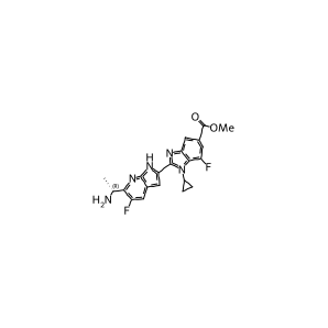 COC(=O)c1cc(F)c2c(c1)nc(-c1cc3cc(F)c([C@@H](C)N)nc3[nH]1)n2C1CC1